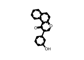 O=c1c(-c2cccc(O)c2)coc2ccc3ccccc3c12